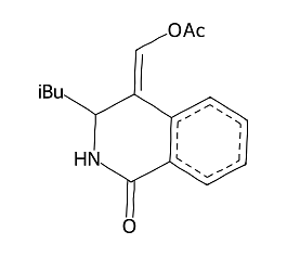 CCC(C)C1NC(=O)c2ccccc2C1=COC(C)=O